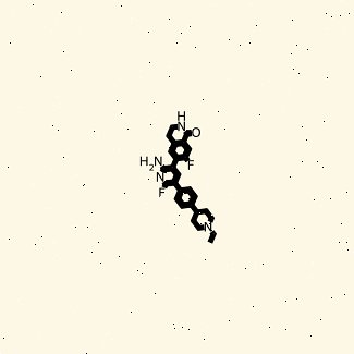 CCN1CCC(c2ccc(-c3cc(-c4cc5c(cc4F)C(=O)NCC5)c(N)nc3F)cc2)CC1